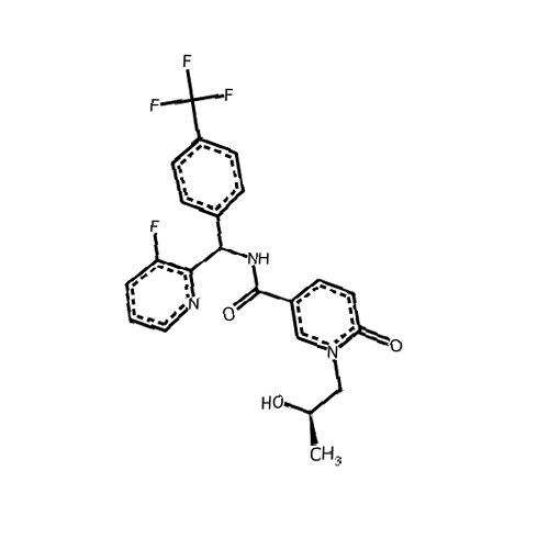 C[C@@H](O)Cn1cc(C(=O)NC(c2ccc(C(F)(F)F)cc2)c2ncccc2F)ccc1=O